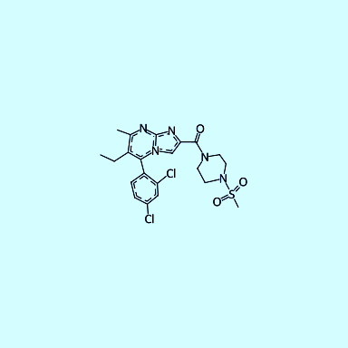 CCc1c(C)nc2nc(C(=O)N3CCN(S(C)(=O)=O)CC3)cn2c1-c1ccc(Cl)cc1Cl